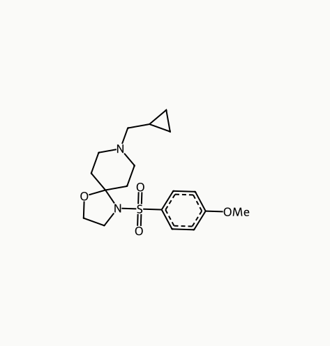 COc1ccc(S(=O)(=O)N2CCOC23CCN(CC2CC2)CC3)cc1